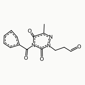 Cc1nn(CCC=O)c(=O)n(C(=O)c2ccccc2)c1=O